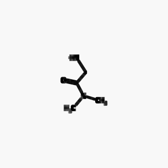 CN(C)C(=O)C[NH]